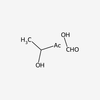 CC(=O)C(C)O.O=CO